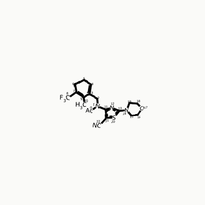 CC(=O)N(CC1=CCCC(C(F)(F)F)=C1C)c1nc(N2CCOCC2)sc1C#N